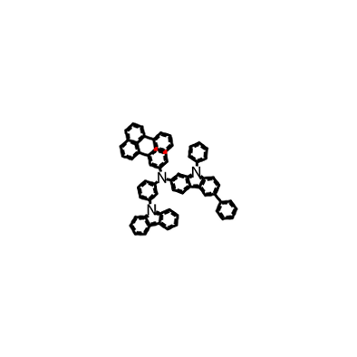 c1ccc(-c2ccc3c(c2)c2ccc(N(c4cccc(-c5cccc6cccc(-c7ccccc7)c56)c4)c4cccc(-n5c6ccccc6c6ccccc65)c4)cc2n3-c2ccccc2)cc1